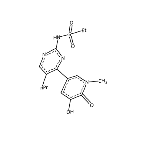 CCCc1cnc(NS(=O)(=O)CC)nc1-c1cc(O)c(=O)n(C)c1